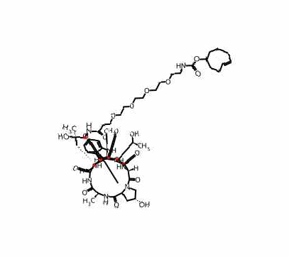 C[C@@H]1NC(=O)C2C[C@@H](O)CN2C(=O)[C@H]2CSc3[nH]c4ccccc4c3C[C@H](NC1=O)C(=O)N[C@H](C[C@@](C)(O)CNC(=O)CCOCCOCCOCCOCCNC(=O)OC1CC/C=C/CCC1)C(=O)N[C@@H](C)C(=O)N[C@H]([C@H](C)O)C(=O)N2